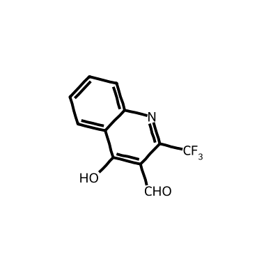 O=Cc1c(C(F)(F)F)nc2ccccc2c1O